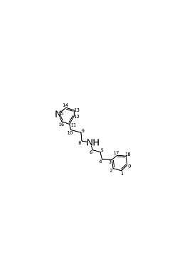 c1ccc(CCCNCCCc2cccnc2)cc1